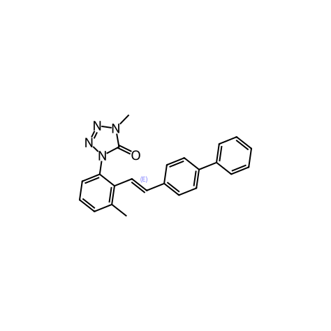 Cc1cccc(-n2nnn(C)c2=O)c1/C=C/c1ccc(-c2ccccc2)cc1